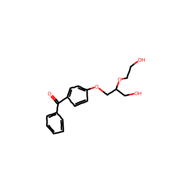 O=C(c1ccccc1)c1ccc(OCC(CO)OCCO)cc1